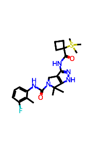 Cc1c(F)cccc1NC(=O)N1Cc2c(NC(=O)C3(S(C)(C)C)CCC3)n[nH]c2C1(C)C